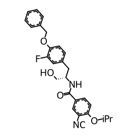 [C-]#[N+]c1cc(C(=O)N[C@H](CO)Cc2ccc(OCc3ccccc3)c(F)c2)ccc1OC(C)C